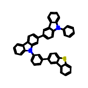 c1ccc(-n2c3ccccc3c3cc(-c4ccc5c6ccccc6n(-c6cccc(-c7ccc8sc9ccccc9c8c7)c6)c5c4)ccc32)cc1